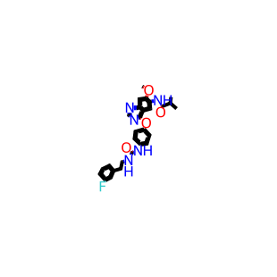 COc1cc2ncnc(Oc3ccc(NC(=O)NCCc4cccc(F)c4)cc3)c2cc1NC(=O)C(C)C